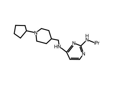 CC(C)Nc1nccc(NCC2CCN(C3CCCC3)CC2)n1